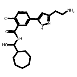 NCCc1cc(-c2ccc(Cl)c(C(=O)NC(O)C3CCCCCC3)c2)[nH]n1